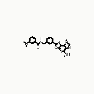 CNc1nc2oc(-c3cccc(CNC(=O)c4cccc(N(C)C)c4)c3)nc2c2c1ncn2C